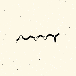 COCCOCOCC(C)C